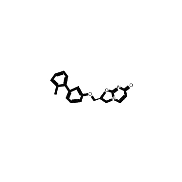 Cc1ccccc1-c1cccc(OC[C@@H]2Cn3ccc(=O)nc3O2)c1